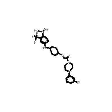 O=C(COC1CCC(Nc2ccc(N(O)O)c(C(F)(F)F)c2)CC1)N1CCN(c2cccc(Cl)c2)CC1